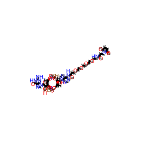 Nc1nc2c(ncn2[C@@H]2O[C@@H]3COP(=O)(S)O[C@H]4C(O)[C@@H](COP(=O)(S)OC3[C@@H]2O)O[C@H]4n2cnc3c(NC(=O)CCOCCOCCOCCOCCNC(=O)CCN4C(=O)C=CC4=O)ncnc32)c(=O)[nH]1